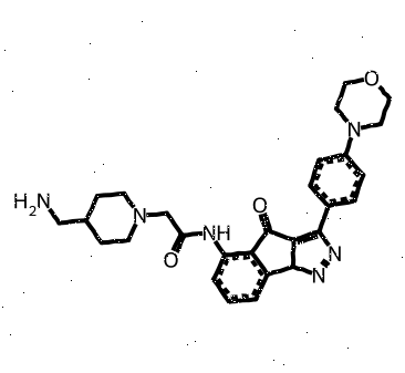 NCC1CCN(CC(=O)Nc2cccc3c2C(=O)C2=C(c4ccc(N5CCOCC5)cc4)N=NC23)CC1